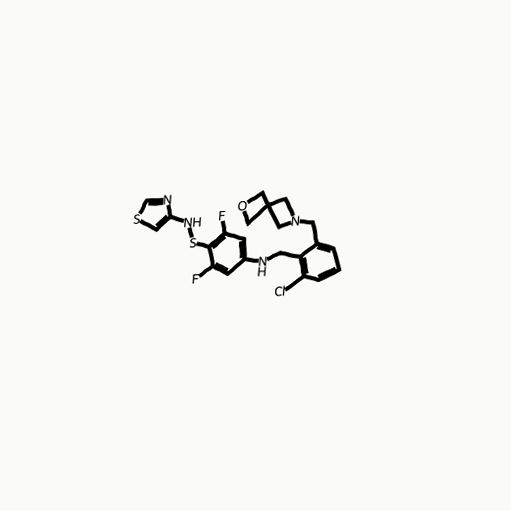 Fc1cc(NCc2c(Cl)cccc2CN2CC3(COC3)C2)cc(F)c1SNc1cscn1